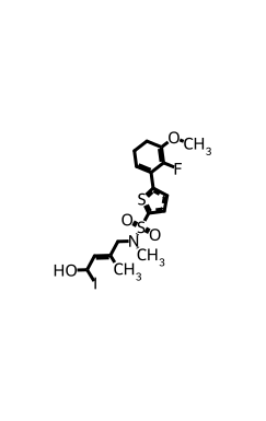 COC1=C(F)C(c2ccc(S(=O)(=O)N(C)C/C(C)=C/C(O)I)s2)=CCC1